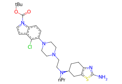 CCCN(CCN1CCN(c2ccc3c(ccn3C(=O)OC(C)(C)C)c2Cl)CC1)[C@H]1CCc2nc(N)sc2C1